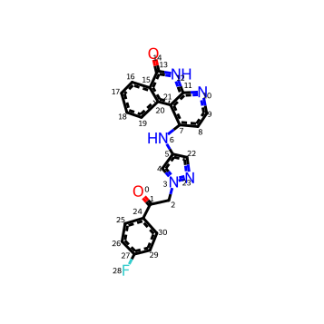 O=C(Cn1cc(Nc2ccnc3[nH]c(=O)c4ccccc4c23)cn1)c1ccc(F)cc1